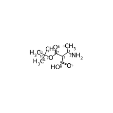 CC(N)C(C(=O)O)C(=O)OC(C)(C)C